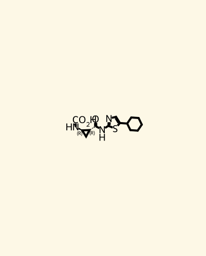 O=C(O)N[C@@H]1C[C@H]1C(=O)Nc1ncc(C2CCCCC2)s1